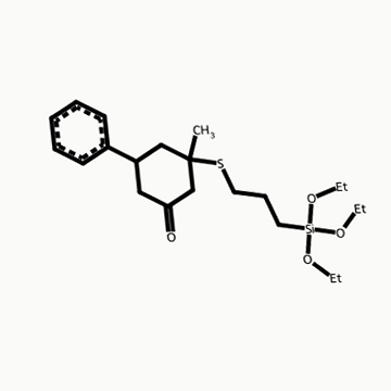 CCO[Si](CCCSC1(C)CC(=O)CC(c2ccccc2)C1)(OCC)OCC